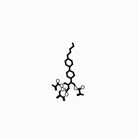 C=C(C)C(=O)OCC(CCOC(=C)C(=C)CO)C(COC(=O)C(=C)C)C1CCC(C2CCC(CCCCC)CC2)CC1